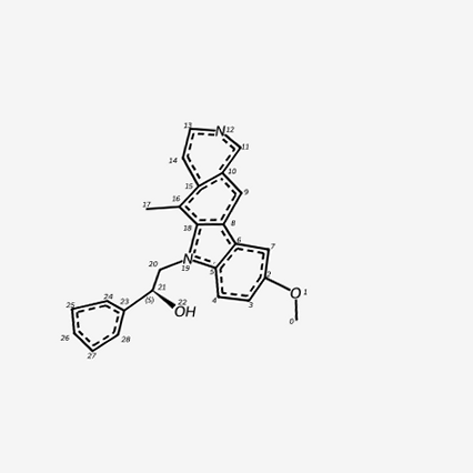 COc1ccc2c(c1)c1cc3cnccc3c(C)c1n2C[C@@H](O)c1ccccc1